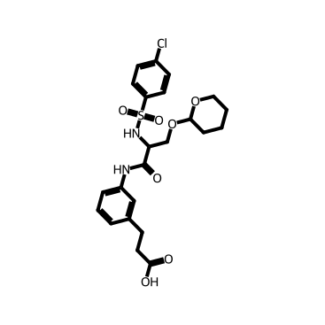 O=C(O)CCc1cccc(NC(=O)C(COC2CCCCO2)NS(=O)(=O)c2ccc(Cl)cc2)c1